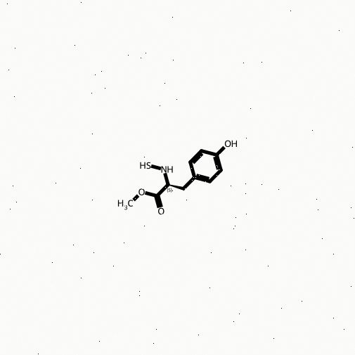 COC(=O)[C@H](Cc1ccc(O)cc1)NS